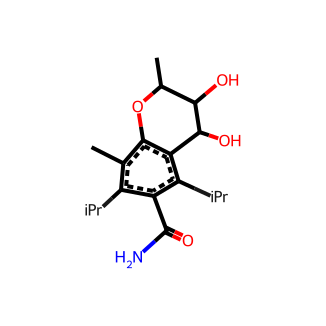 Cc1c2c(c(C(C)C)c(C(N)=O)c1C(C)C)C(O)C(O)C(C)O2